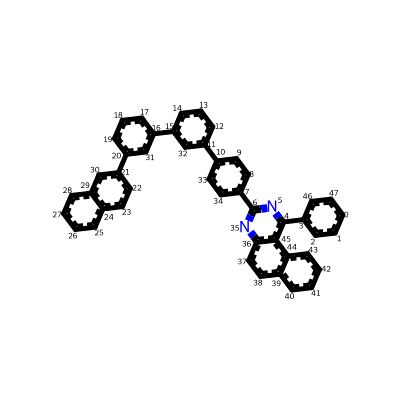 c1ccc(-c2nc(-c3ccc(-c4cccc(-c5cccc(-c6ccc7ccccc7c6)c5)c4)cc3)nc3ccc4ccccc4c23)cc1